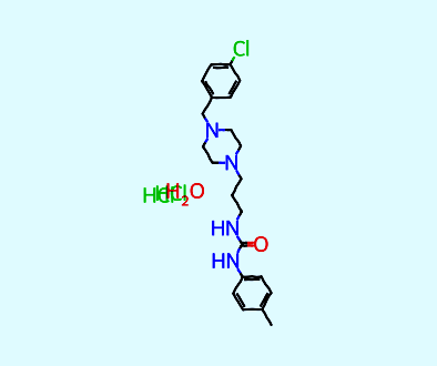 Cc1ccc(NC(=O)NCCCN2CCN(Cc3ccc(Cl)cc3)CC2)cc1.Cl.Cl.O